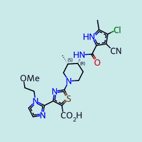 COCCn1ccnc1-c1nc(N2CC[C@@H](NC(=O)c3[nH]c(C)c(Cl)c3C#N)[C@@H](C)C2)sc1C(=O)O